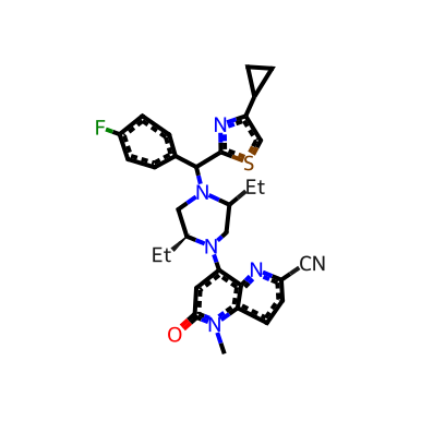 CCC1CN(c2cc(=O)n(C)c3ccc(C#N)nc23)[C@@H](CC)CN1C(c1ccc(F)cc1)c1nc(C2CC2)cs1